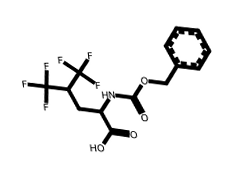 O=C(NC(CC(C(F)(F)F)C(F)(F)F)C(=O)O)OCc1ccccc1